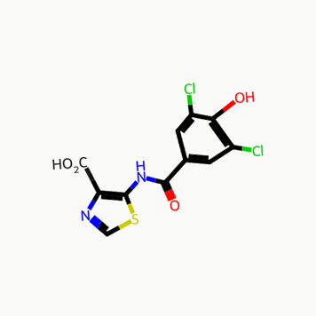 O=C(Nc1scnc1C(=O)O)c1cc(Cl)c(O)c(Cl)c1